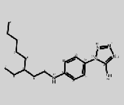 CCCCCC(CC)CCNc1ccc(-n2nnnc2S)cc1